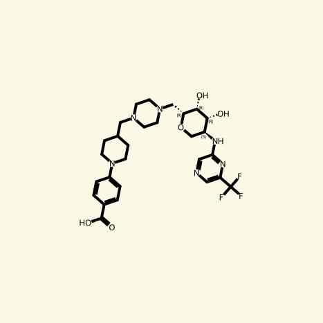 O=C(O)c1ccc(N2CCC(CN3CCN(C[C@H]4OC[C@H](Nc5cncc(C(F)(F)F)n5)[C@@H](O)[C@H]4O)CC3)CC2)cc1